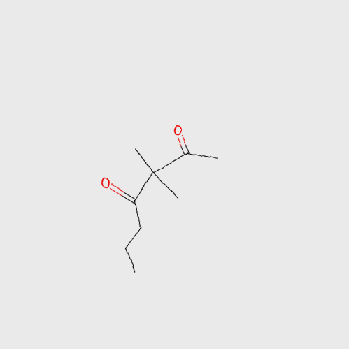 CCCC(=O)C(C)(C)C(C)=O